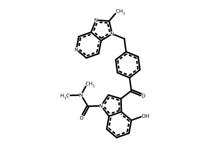 Cc1nc2cnccc2n1Cc1ccc(C(=O)c2cn(C(=O)N(C)C)c3cccc(O)c23)cc1